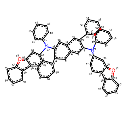 c1ccc(-c2cc3cc(N(c4ccccc4)c4ccc5c(c4)oc4ccccc45)c(-c4ccccc4)cc3cc2N(c2ccccc2)c2ccc3c(c2)oc2ccccc23)cc1